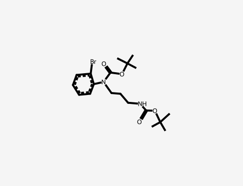 CC(C)(C)OC(=O)NCCCN(C(=O)OC(C)(C)C)c1ccccc1Br